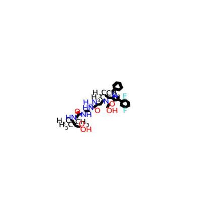 CC(NCC(=O)NCCNC(=O)[C@@H](N)CCN(C(=O)CO)[C@@H](c1cc(-c2cc(F)ccc2F)cn1Cc1ccccc1)C(C)(C)C)C(C)(C)CC(=O)O